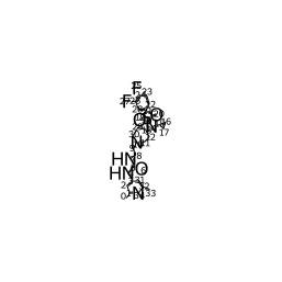 Cc1cc(NC(=O)NCCN2CCC(N(C3CC3)S(=O)(=O)c3ccc(F)c(F)c3)CC2)cc(C)n1